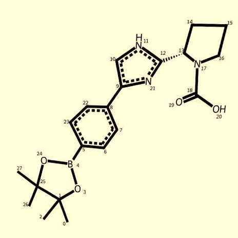 CC1(C)OB(c2ccc(-c3c[nH]c([C@@H]4CCCN4C(=O)O)n3)cc2)OC1(C)C